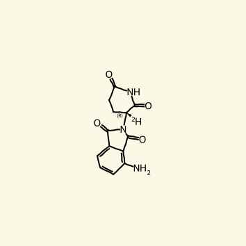 [2H][C@@]1(N2C(=O)c3cccc(N)c3C2=O)CCC(=O)NC1=O